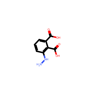 NNc1cccc(C(=O)O)c1C(=O)O